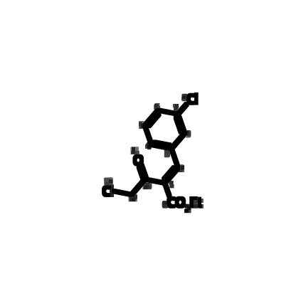 CCOC(=O)C(=Cc1cccc(Cl)c1)C(=O)CCl